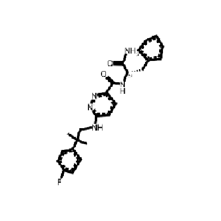 CC(C)(CNc1ccc(C(=O)N[C@@H](Cc2ccccc2)C(N)=O)nn1)c1ccc(F)cc1